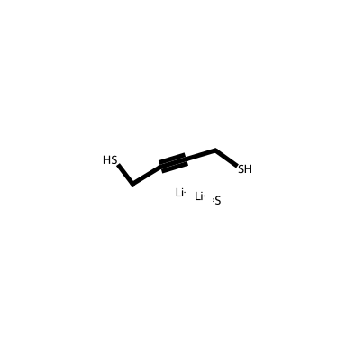 SCC#CCS.[Li].[Li].[S]